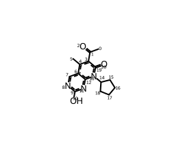 CC(=O)c1c(C)c2cnc(O)nc2n(C2CCCC2)c1=O